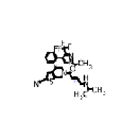 CCn1cc(-c2c(F)cccc2[C@@H]2CN(C(=O)/C=C/CNC(C)C)Cc3sc(C#N)cc32)c(C(F)(F)F)n1